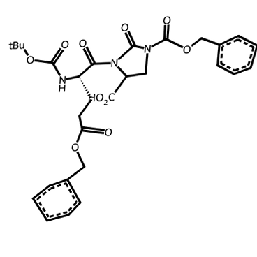 CC(C)(C)OC(=O)N[C@@H](CCC(=O)OCc1ccccc1)C(=O)N1C(=O)N(C(=O)OCc2ccccc2)CC1C(=O)O